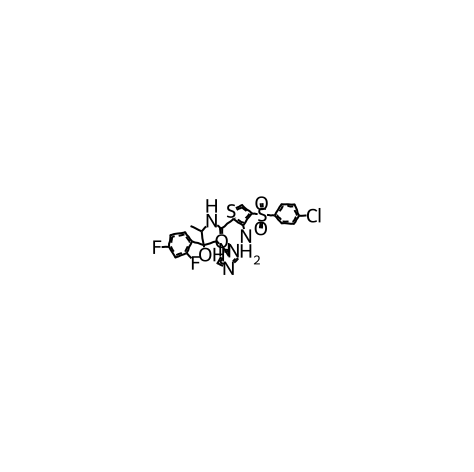 CC(NC(=O)c1scc(S(=O)(=O)c2ccc(Cl)cc2)c1N)C(O)(Cn1cncn1)c1ccc(F)cc1F